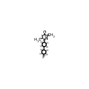 CC1CC(=O)N(C)N=C1c1ccc(-c2ccc(F)cc2)cc1